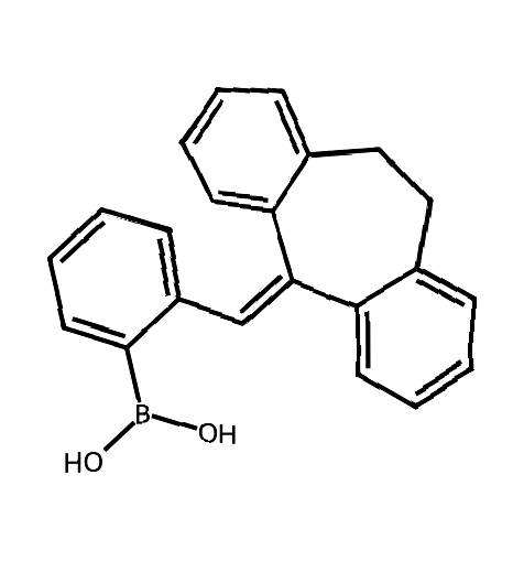 OB(O)c1ccccc1C=C1c2ccccc2CCc2ccccc21